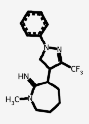 CN1CCCCC(C2CN(c3ccccc3)N=C2C(F)(F)F)C1=N